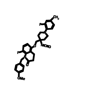 COc1ccc(CN2C(=O)CCc3c(OCC4(N=C=O)CCN(c5ccc(C)cc5F)CC4)ccc(F)c32)cc1